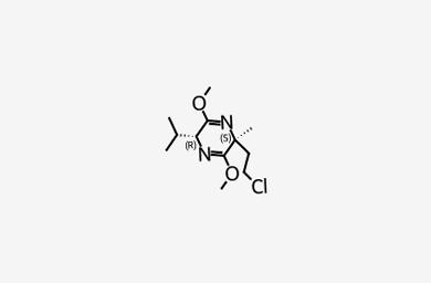 COC1=N[C@@](C)(CCCl)C(OC)=N[C@@H]1C(C)C